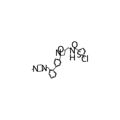 CN1CCN(Cc2ccccc2-c2ccc(C3=NOC(CNC(=O)c4ccc(Cl)s4)C3)cc2)CC1